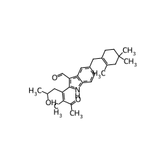 CC(=O)/C(C)=C(/CC(C)O)c1[nH]c2ccc(CC3=C(C)CC(C)(C)CC3)cc2c1C=O